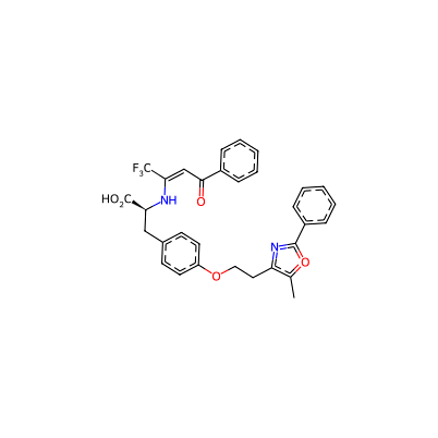 Cc1oc(-c2ccccc2)nc1CCOc1ccc(C[C@H](N/C(=C\C(=O)c2ccccc2)C(F)(F)F)C(=O)O)cc1